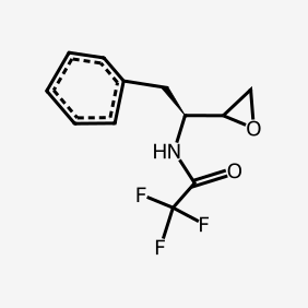 O=C(N[C@@H](Cc1ccccc1)C1CO1)C(F)(F)F